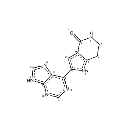 O=C1NCCc2[nH]c(-c3ncnc4[nH]cnc34)cc21